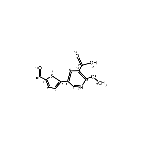 COc1ncc(-c2ccc(C=O)s2)cc1C(=O)O